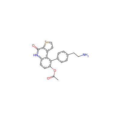 CC(=O)Oc1ccc2[nH]c(=O)c3sccc3c2c1-c1ccc(CCN)cc1